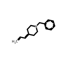 C=CC=C1CCN(Cc2ccccc2)CC1